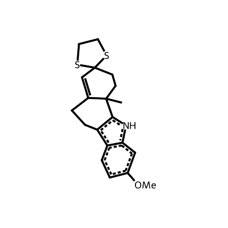 COc1ccc2c3c([nH]c2c1)C1(C)CCC2(C=C1CC3)SCCS2